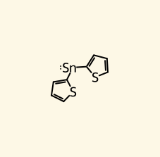 c1cs[c]([Sn][c]2cccs2)c1